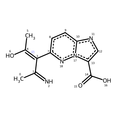 CC(=N)/C(=C(/C)O)c1ccc2ncc(C(=O)O)n2n1